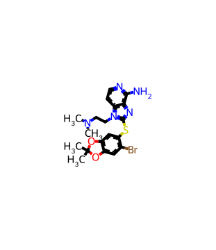 CN(C)CCn1c(Sc2cc3c(cc2Br)OC(C)(C)O3)nc2c(N)nccc21